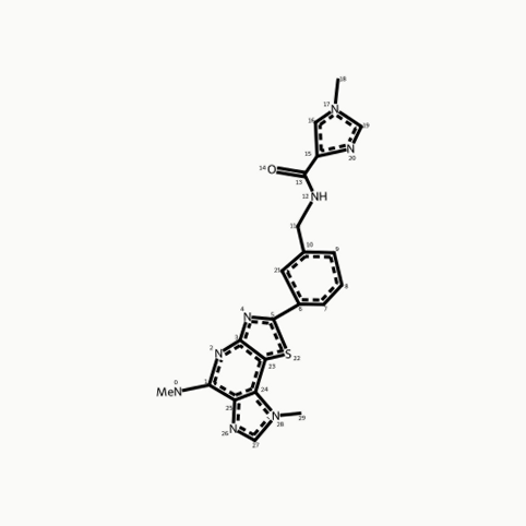 CNc1nc2nc(-c3cccc(CNC(=O)c4cn(C)cn4)c3)sc2c2c1ncn2C